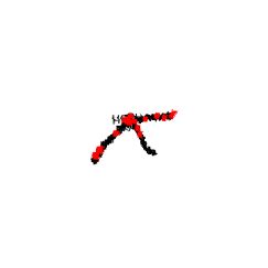 CCCCCCCCCCCCCCCCCC(=O)C(O)(C(=O)CCCCCCCCCCCCCCC)C(O)(CO)C(=O)CCCCCCCCCCCCCCC